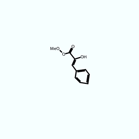 COOC(=O)C(O)=Cc1ccccc1